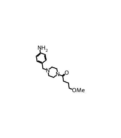 COCCCC(=O)N1CCN(Cc2ccc(N)cc2)CC1